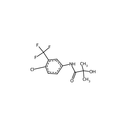 CC(C)(O)C(=O)Nc1ccc(Cl)c(C(F)(F)F)c1